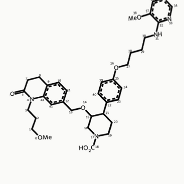 COCCCN1C(=O)CCc2ccc(COC3CN(C(=O)O)CCC3c3ccc(OCCCCNc4ncncc4OC)cc3)cc21